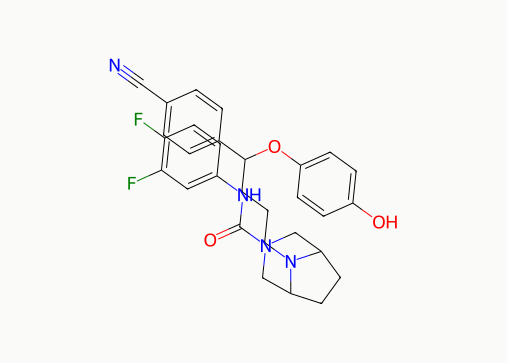 N#Cc1ccc(C(CCCN2C3CCC2CN(C(=O)Nc2ccc(F)c(F)c2)C3)Oc2ccc(O)cc2)cc1